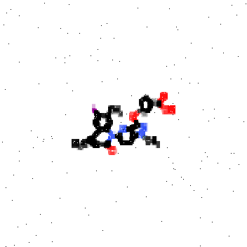 CC#CC(=O)N(c1ccc2c(n1)c(O[C@H]1CC[C@@H](C(=O)O)C1)nn2C)c1cc(C)c(I)cc1C1CC1